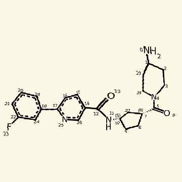 NC1CCN(C(=O)[C@@H]2CC[C@H](NC(=O)c3ccc(-c4cccc(F)c4)nc3)C2)CC1